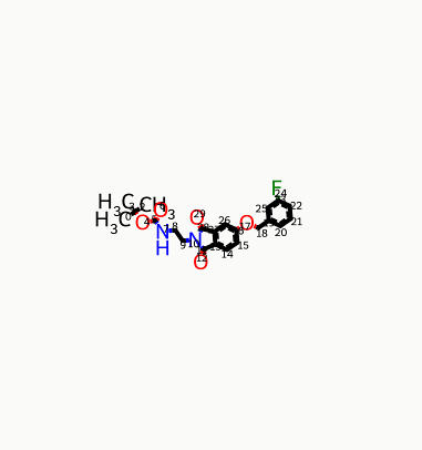 CC(C)(C)OC(=O)NCCN1C(=O)c2ccc(OCc3cccc(F)c3)cc2C1=O